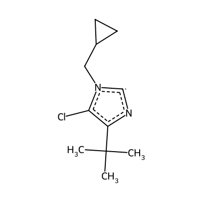 CC(C)(C)c1n[c]n(CC2CC2)c1Cl